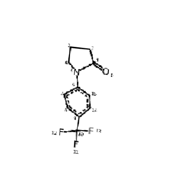 O=C1[CH]CCN1c1ccc(C(F)(F)F)cc1